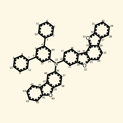 c1ccc(-c2cc(-c3ccccc3)cc(N(c3ccc4c(c3)oc3ccc5c6ccccc6oc5c34)c3ccc4oc5ccccc5c4c3)c2)cc1